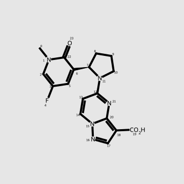 Cn1cc(F)cc([C@H]2CCCN2c2ccn3ncc(C(=O)O)c3n2)c1=O